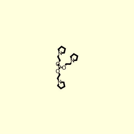 C1CCN(CCOP(OCCN2CCCC2)OCCN2CCCC2)C1